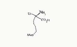 CCC(N)(CCSC)C(=O)O